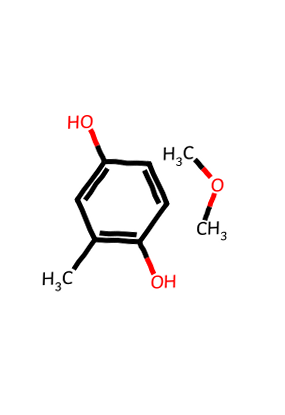 COC.Cc1cc(O)ccc1O